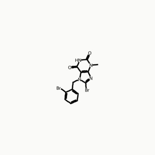 Cn1c(=O)[nH]c(=O)c2c1nc(Br)n2Cc1ccccc1Br